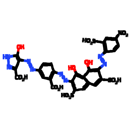 O=C(O)c1cc(/N=N/c2c(C(=O)O)n[nH]c2O)ccc1/N=N/c1c(S(=O)(=O)O)cc2cc(S(=O)(=O)O)c(/N=N/c3ccc([N+](=O)[O-])cc3S(=O)(=O)O)c(O)c2c1O